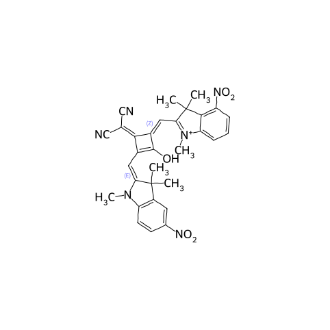 CN1/C(=C/C2=C(O)C(=C\C3=[N+](C)c4cccc([N+](=O)[O-])c4C3(C)C)/C2=C(C#N)C#N)C(C)(C)c2cc([N+](=O)[O-])ccc21